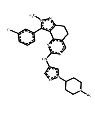 CC(=O)N1CCC(n2cc(Nc3ncc4c(n3)-c3c(nn(C)c3-c3cccc(Cl)c3)CC4)cn2)CC1